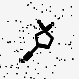 C#CC1=CCS(=O)(=O)C1